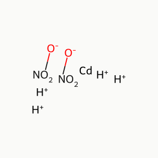 O=[N+]([O-])[O-].O=[N+]([O-])[O-].[Cd].[H+].[H+].[H+].[H+]